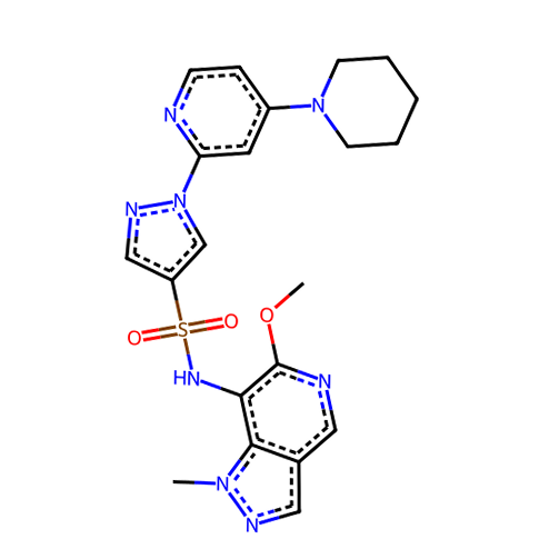 COc1ncc2cnn(C)c2c1NS(=O)(=O)c1cnn(-c2cc(N3CCCCC3)ccn2)c1